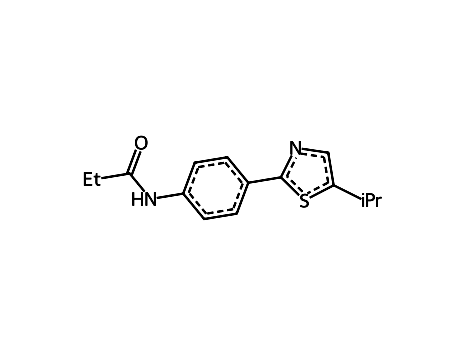 CCC(=O)Nc1ccc(-c2ncc(C(C)C)s2)cc1